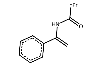 C=C(NC(=O)CCC)c1ccccc1